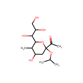 CC(=O)C1(OC(C)C)CC(O)C(C)C(C(O)C(O)CO)O1